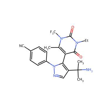 CCn1c(=O)c(-c2c(C(C)(C)N)cnn2-c2ccc(C#N)cc2)c(C)n(C(F)(F)F)c1=O